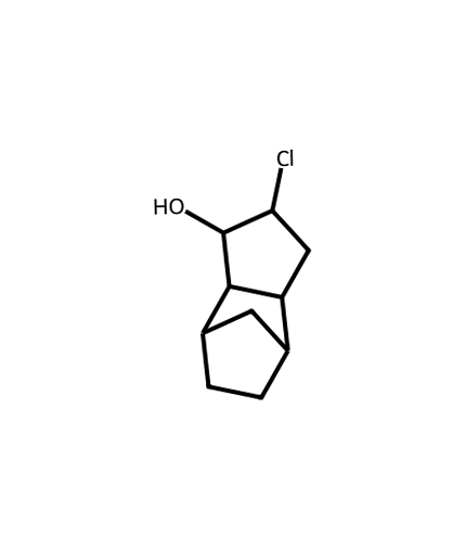 OC1C(Cl)CC2C3CCC(C3)C12